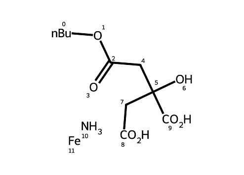 CCCCOC(=O)CC(O)(CC(=O)O)C(=O)O.N.[Fe]